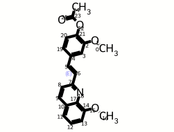 COc1cc(/C=C/c2ccc3cccc(OC)c3n2)ccc1OC(C)=O